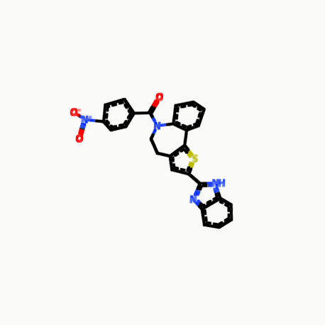 O=C(c1ccc([N+](=O)[O-])cc1)N1CCc2cc(-c3nc4ccccc4[nH]3)sc2-c2ccccc21